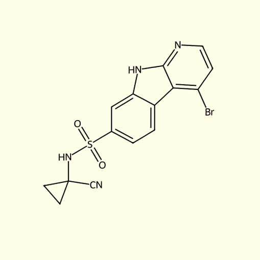 N#CC1(NS(=O)(=O)c2ccc3c(c2)[nH]c2nccc(Br)c23)CC1